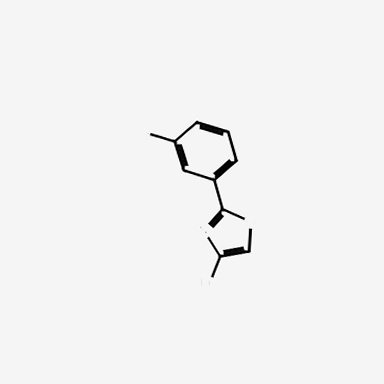 CCc1coc(-c2cccc(O)c2)n1